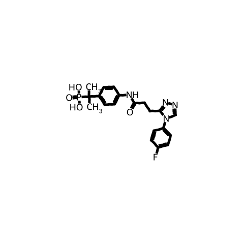 CC(C)(c1ccc(NC(=O)CCc2nncn2-c2ccc(F)cc2)cc1)P(=O)(O)O